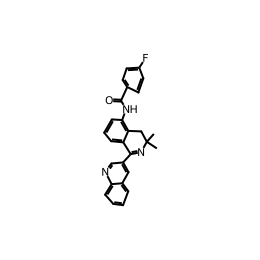 CC1(C)Cc2c(NC(=O)c3ccc(F)cc3)cccc2C(c2cnc3ccccc3c2)=N1